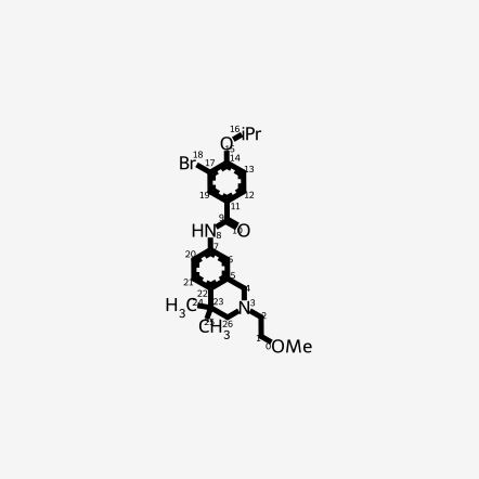 COCCN1Cc2cc(NC(=O)c3ccc(OC(C)C)c(Br)c3)ccc2C(C)(C)C1